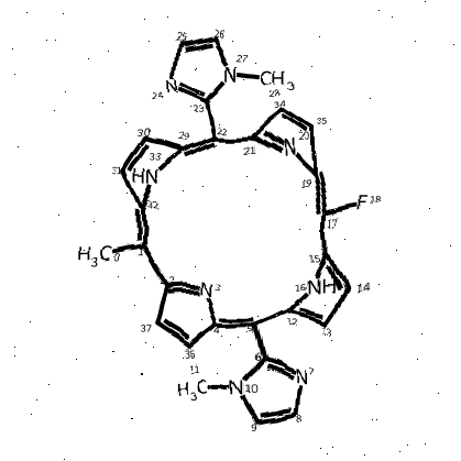 Cc1c2nc(c(-c3nccn3C)c3ccc([nH]3)c(F)c3nc(c(-c4nccn4C)c4ccc1[nH]4)C=C3)C=C2